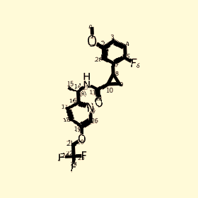 COc1ccc(F)c(C2CC2C(=O)N[C@H](C)c2ccc(OCC(F)(F)F)cn2)c1